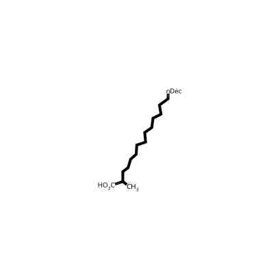 CCCCCCCCCCCCCCCCCCCCCCC(C)C(=O)O